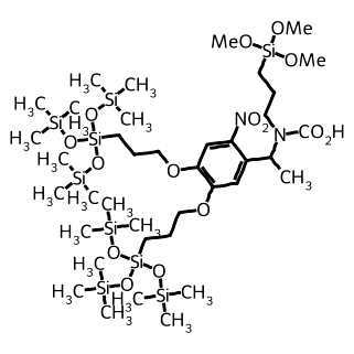 CO[Si](CCCN(C(=O)O)C(C)c1cc(OCCC[Si](O[Si](C)(C)C)(O[Si](C)(C)C)O[Si](C)(C)C)c(OCCC[Si](O[Si](C)(C)C)(O[Si](C)(C)C)O[Si](C)(C)C)cc1[N+](=O)[O-])(OC)OC